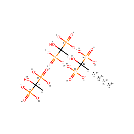 CC(O)(P(=O)([O-])[O-])P(=O)([O-])[O-].CC(O)(P(=O)([O-])[O-])P(=O)([O-])[O-].CC(O)(P(=O)([O-])[O-])P(=O)([O-])[O-].[Al+3].[Al+3].[Al+3].[Al+3]